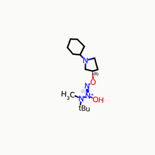 CN(/[N+](O)=N/O[C@@H]1CCN(C2CCCCC2)C1)C(C)(C)C